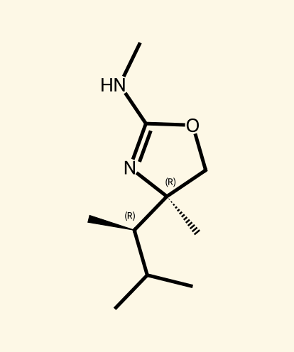 CNC1=N[C@](C)([C@H](C)C(C)C)CO1